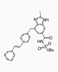 CCCCS(=O)(=O)NC(=O)c1cc(Cc2ccc(C=Cc3ccccc3)cc2)c2nc(C)[nH]c2c1